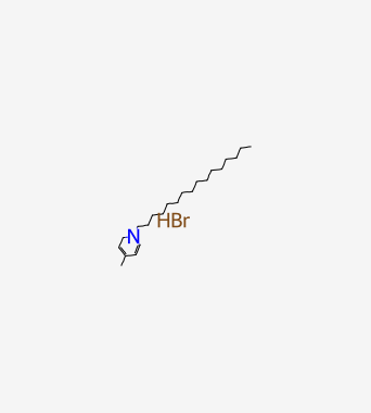 Br.CCCCCCCCCCCCCCCCN1C=CC(C)=CC1